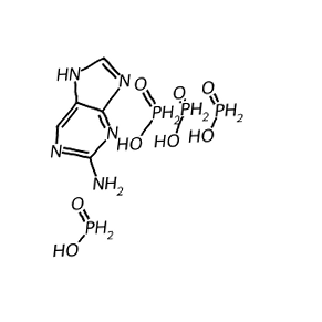 Nc1ncc2[nH]cnc2n1.O=[PH2]O.O=[PH2]O.O=[PH2]O.O=[PH2]O